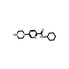 O=C(NC1CCCCC1)c1ccc(N2CCNCC2)cn1